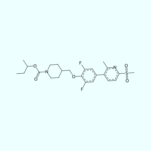 CCC(C)OC(=O)N1CCC(COc2c(F)cc(-c3ccc(S(C)(=O)=O)nc3C)cc2F)CC1